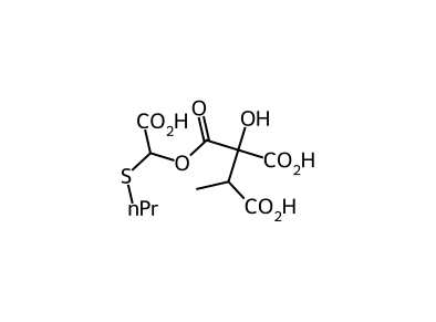 CCCSC(OC(=O)C(O)(C(=O)O)C(C)C(=O)O)C(=O)O